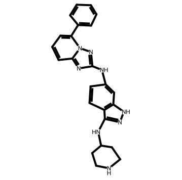 c1ccc(-c2cccc3nc(Nc4ccc5c(NC6CCNCC6)n[nH]c5c4)nn23)cc1